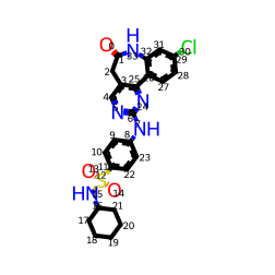 O=C1Cc2cnc(Nc3ccc(S(=O)(=O)NC4CCCCC4)cc3)nc2-c2ccc(Cl)cc2N1